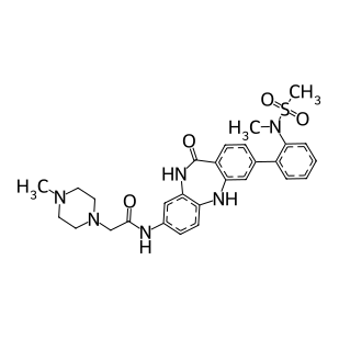 CN1CCN(CC(=O)Nc2ccc3c(c2)NC(=O)c2ccc(-c4ccccc4N(C)S(C)(=O)=O)cc2N3)CC1